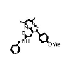 COc1ccc(-c2nn3c(C)cc(C)nc3c2CC(=O)NCc2ccccc2)cc1